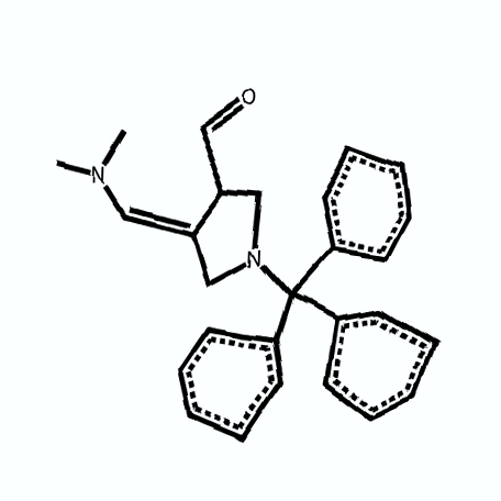 CN(C)C=C1CN(C(c2ccccc2)(c2ccccc2)c2ccccc2)CC1C=O